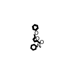 CN(C(=O)c1ccc(COc2ccccc2)o1)C1CCCCC1